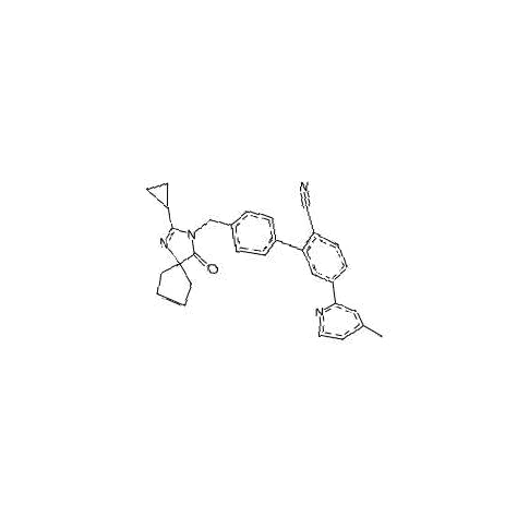 Cc1ccnc(-c2ccc(C#N)c(-c3ccc(CN4C(=O)C5(CCCC5)N=C4C4CC4)cc3)c2)c1